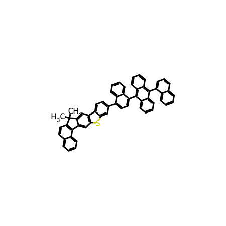 CC1(C)c2cc3c(cc2-c2c1ccc1ccccc21)sc1cc(-c2ccc(-c4c5ccccc5c(-c5cccc6ccccc56)c5ccccc45)c4ccccc24)ccc13